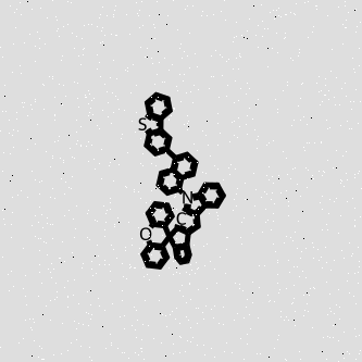 c1ccc2c(c1)Oc1ccccc1C21c2ccccc2-c2cc3c4ccccc4n(-c4cccc5c(-c6ccc7sc8ccccc8c7c6)cccc45)c3cc21